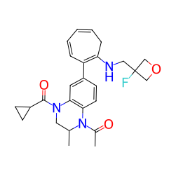 CC(=O)N1c2ccc(C3=C(NCC4(F)COC4)CC=CC=C3)cc2N(C(=O)C2CC2)CC1C